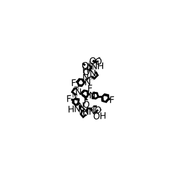 CC[C@H](NC(O)OC)C(=O)N1CCC[C@H]1c1nc2cc([C@H]3CC[C@H](c4cc5nc([C@@H]6CCCN6C(=O)[C@@H](NC(=O)OC)[C@@H](C)OC)[nH]c5cc4F)N3c3cc(F)c(N4CCC(c5ccc(F)cc5)CC4)c(F)c3)c(F)cc2[nH]1